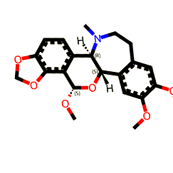 COc1cc2c(cc1OC)[C@@H]1O[C@H](OC)c3c(ccc4c3OCO4)[C@H]1N(C)CC2